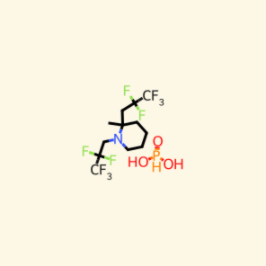 CC1(CC(F)(F)C(F)(F)F)CCCCN1CC(F)(F)C(F)(F)F.O=[PH](O)O